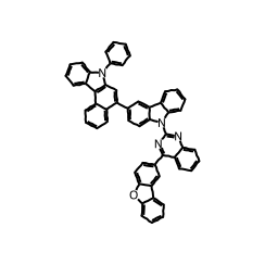 c1ccc(-n2c3ccccc3c3c4ccccc4c(-c4ccc5c(c4)c4ccccc4n5-c4nc(-c5ccc6oc7ccccc7c6c5)c5ccccc5n4)cc32)cc1